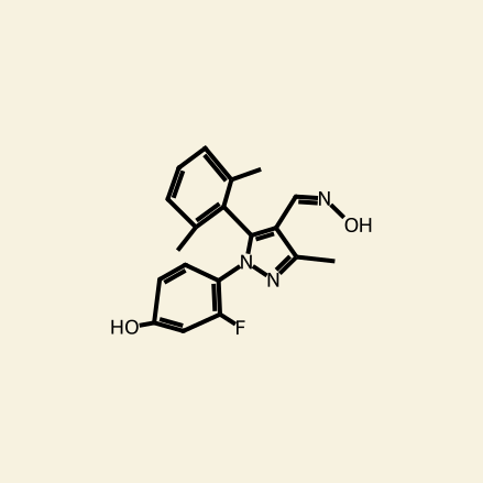 Cc1cccc(C)c1-c1c(/C=N\O)c(C)nn1-c1ccc(O)cc1F